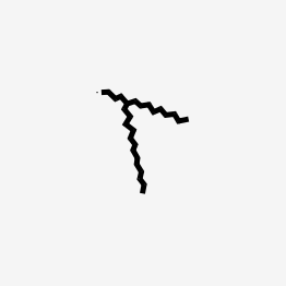 [CH2]CCCC(CCCCCCCCC)CCCCCCCCCCCCC